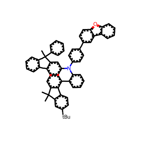 CC(C)(C)c1ccc2c(c1)C(C)(C)c1cccc(-c3ccccc3N(c3ccc(-c4ccc5oc6ccccc6c5c4)cc3)c3ccc4c(c3)C(C)(c3ccccc3)c3ccccc3-4)c1-2